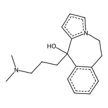 CN(C)CCCC1(O)c2ccccc2CCn2cccc21